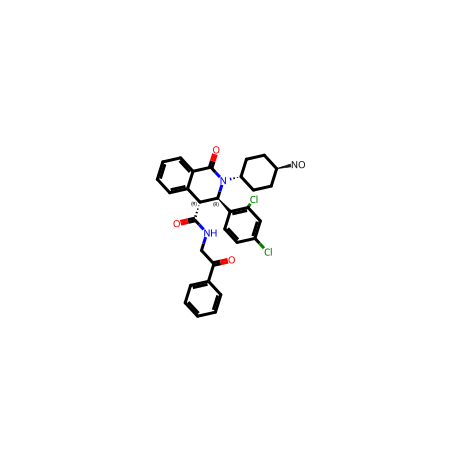 O=N[C@H]1CC[C@H](N2C(=O)c3ccccc3[C@@H](C(=O)NCC(=O)c3ccccc3)[C@@H]2c2ccc(Cl)cc2Cl)CC1